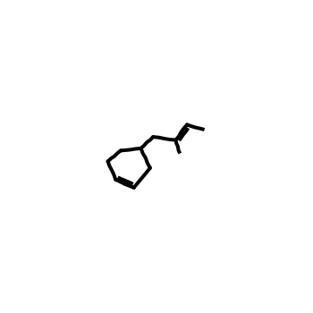 C/C=C(\C)CC1CC=CCC1